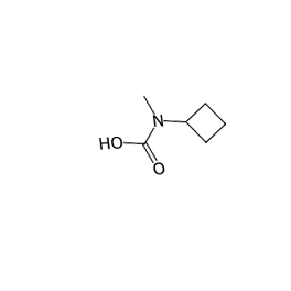 CN(C(=O)O)C1CCC1